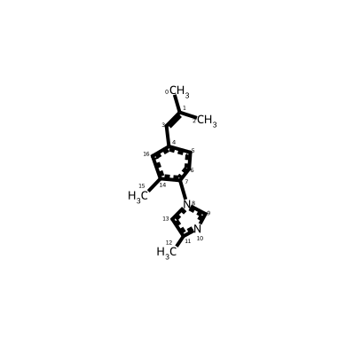 CC(C)=Cc1ccc(-n2cnc(C)c2)c(C)c1